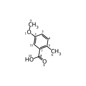 COc1ccc(C)c(C(=O)O)c1